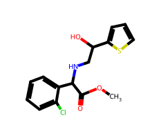 COC(=O)C(NCC(O)c1cccs1)c1ccccc1Cl